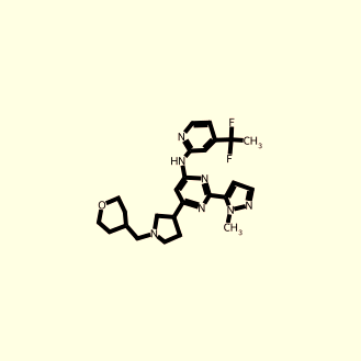 Cn1nccc1-c1nc(Nc2cc(C(C)(F)F)ccn2)cc(C2CCN(CC3CCOCC3)C2)n1